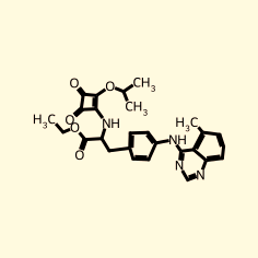 CCOC(=O)C(Cc1ccc(Nc2ncnc3cccc(C)c23)cc1)Nc1c(OC(C)C)c(=O)c1=O